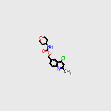 Cc1cc(Cl)c2cc(COC(=O)NC3CCOCC3)ccc2n1